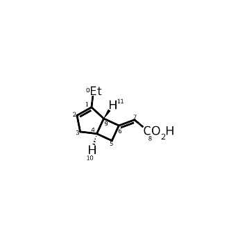 CCC1=CC[C@@H]2CC(=CC(=O)O)[C@@H]12